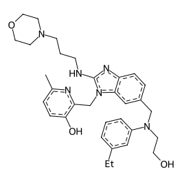 CCc1cccc(N(CCO)Cc2ccc3nc(NCCCN4CCOCC4)n(Cc4nc(C)ccc4O)c3c2)c1